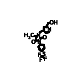 CC1C(=O)N(c2ccc(SC(F)(F)F)cc2)C(=O)N1Cc1ccnc(CO)c1